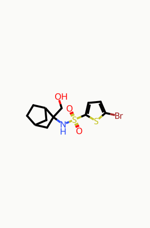 O=S(=O)(NC1(CO)CC2CCC1C2)c1ccc(Br)s1